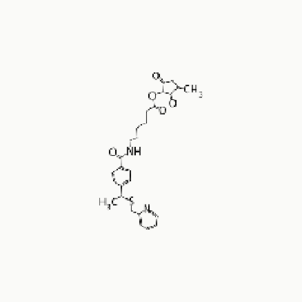 CC1CC(=O)C(OC(=O)CCCCCNC(=O)c2ccc(C(C)SCc3ccccn3)cc2)C1=O